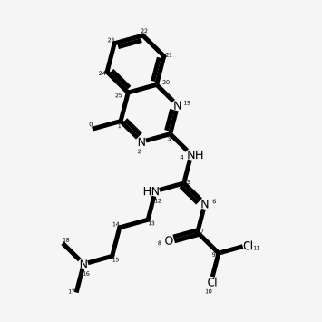 Cc1nc(N/C(=N/C(=O)C(Cl)Cl)NCCCN(C)C)nc2ccccc12